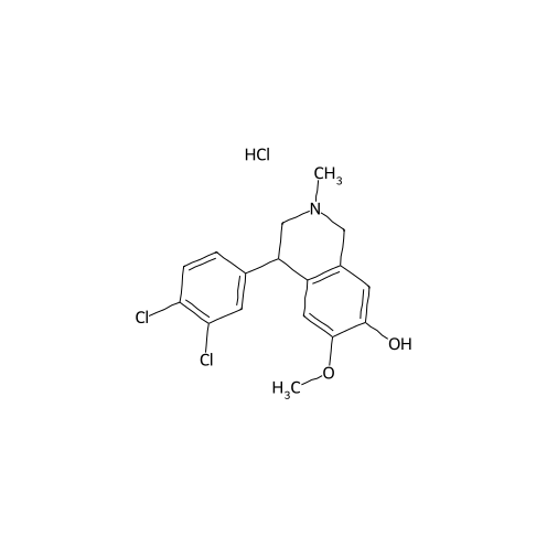 COc1cc2c(cc1O)CN(C)CC2c1ccc(Cl)c(Cl)c1.Cl